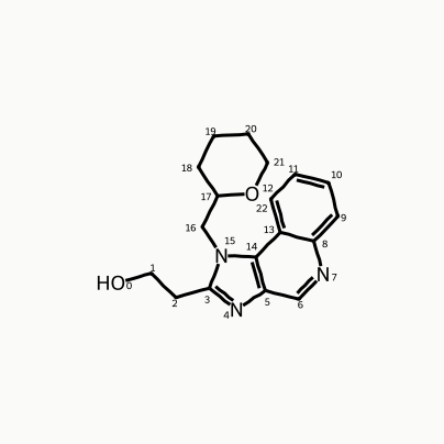 OCCc1nc2cnc3ccccc3c2n1CC1CCCCO1